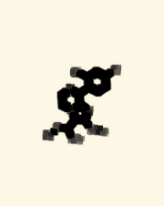 CCCC(OCC)c1c(SC)nc2c(-c3ccc(Cl)cc3Cl)nccn12